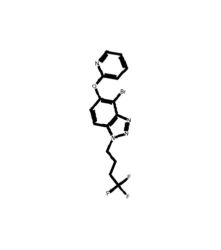 FC(F)(F)CCCn1nnc2c(Br)c(Oc3ccccn3)ccc21